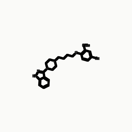 COc1cc(C(C)=O)ccc1OCCCCN1CCN(c2n[nH]c3ccccc23)CC1